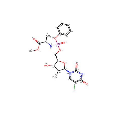 CC(C)OC(=O)[C@@H](C)N[P@](=O)(OC[C@H]1O[C@@H](n2cc(F)c(=O)[nH]c2=O)C(C)[C@@H]1O)Oc1ccccc1